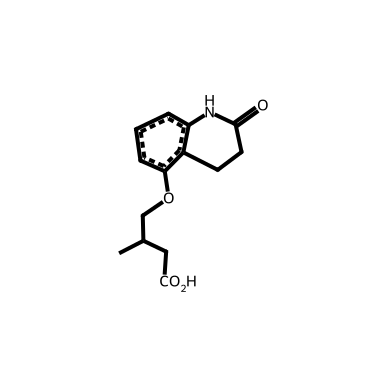 CC(COc1cccc2c1CCC(=O)N2)CC(=O)O